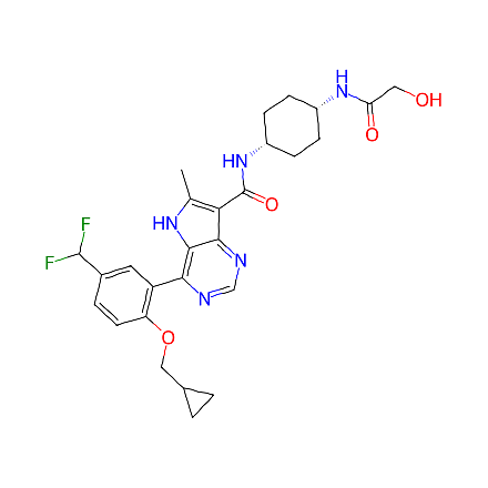 Cc1[nH]c2c(-c3cc(C(F)F)ccc3OCC3CC3)ncnc2c1C(=O)N[C@H]1CC[C@@H](NC(=O)CO)CC1